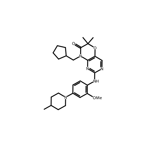 COc1cc(N2CCC(C)CC2)ccc1Nc1ncc2c(n1)N(CC1CCCC1)C(=O)C(C)(C)O2